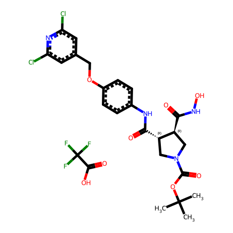 CC(C)(C)OC(=O)N1C[C@H](C(=O)NO)[C@@H](C(=O)Nc2ccc(OCc3cc(Cl)nc(Cl)c3)cc2)C1.O=C(O)C(F)(F)F